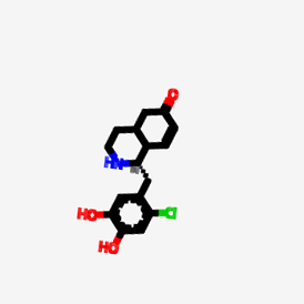 O=C1C=CC2C(CCN[C@H]2Cc2cc(O)c(O)cc2Cl)C1